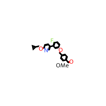 COC(=O)c1ccc(COc2ccc(F)c(-c3ccc(OCC4CC4)nc3)c2)cc1